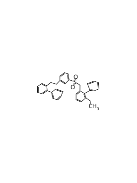 CCc1cccc(CS(=O)(=O)c2cccc(CCc3ccccc3-c3ccccc3)c2)c1-c1ccccc1